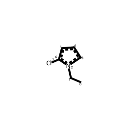 CCn1cccc1Cl